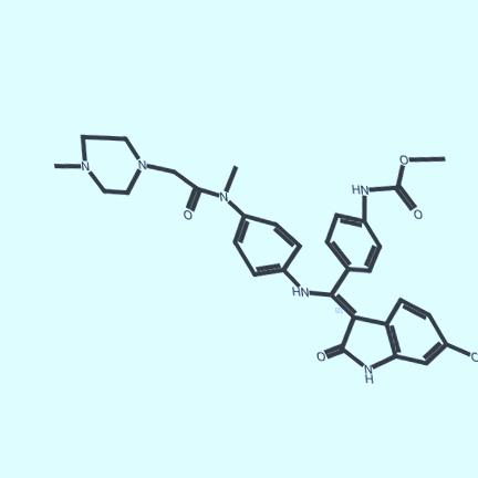 COC(=O)Nc1ccc(/C(Nc2ccc(N(C)C(=O)CN3CCN(C)CC3)cc2)=C2/C(=O)Nc3cc(Cl)ccc32)cc1